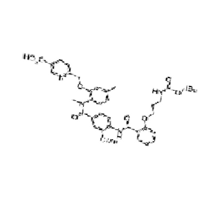 COc1cc(C(=O)N(C)c2ccc(C)cc2OCc2ccc(C(=O)O)cn2)ccc1NC(=O)c1ccccc1OCCCNC(=O)OC(C)(C)C